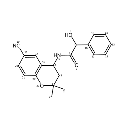 CC1(C)CC(NC(=O)C(O)c2ccccc2)c2cc(C#N)ccc2O1